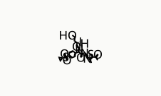 CC(=O)c1sc(NC(=O)/C(=N/O[C@@H](I)CCO)c2ccc(S(=O)(=O)C3CC3)cc2)nc1C